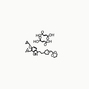 CN(C)Cc1c(OCC2CC2)ccc2c(CCC3CCN(CC4OCCCO4)CC3)noc12.O=C(O)C=CC(=O)O.O=C(O)C=CC(=O)O